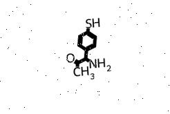 CC(=O)C(N)c1ccc(S)cc1